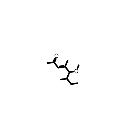 CCC(C)C(OC)C(C)=CC(C)=O